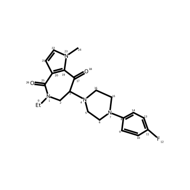 CCN1CC(N2CCN(c3ccc(F)cc3)CC2)C(=O)c2c(ccn2C)C1=O